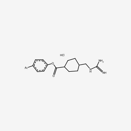 CC(=O)c1ccc(OC(=O)C2CCC(CNC(=N)N)CC2)cc1.Cl